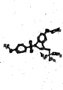 COc1ccc(S(=O)(=O)N2CC(CC(C)(C)C)c3cc(OC)ccc32)cc1